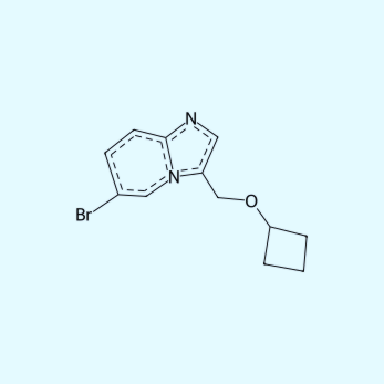 Brc1ccc2ncc(COC3CCC3)n2c1